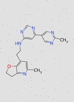 Cc1cc(CCNc2cc(-c3cnc(C)nc3)ncn2)c2c(n1)CCO2